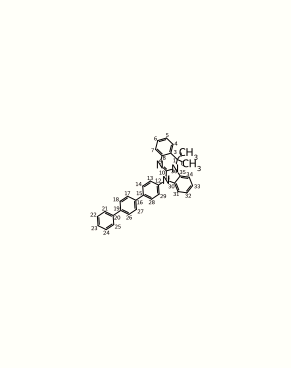 CC1(C)c2ccccc2N=C2N(c3ccc(-c4ccc(-c5ccccc5)cc4)cc3)c3ccccc3N21